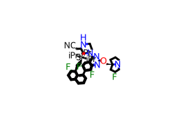 CC(C)[Si](C#Cc1c(F)ccc2cccc(-c3c(F)cc4c(N5CCNC(CC#N)C5)nc(OC[C@@]56CCCN5C[C@H](F)C6)nc4c3F)c12)(C(C)C)C(C)C